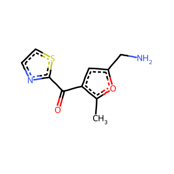 Cc1oc(CN)cc1C(=O)c1nccs1